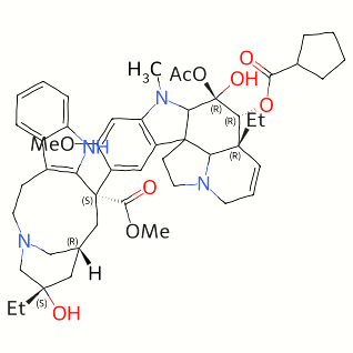 CC[C@]1(O)C[C@@H]2CN(CCc3c([nH]c4ccccc34)[C@@](C(=O)OC)(c3cc4c(cc3OC)N(C)C3C45CCN4CC=C[C@](CC)(C45)[C@@H](OC(=O)C4CCCC4)[C@]3(O)OC(C)=O)C2)C1